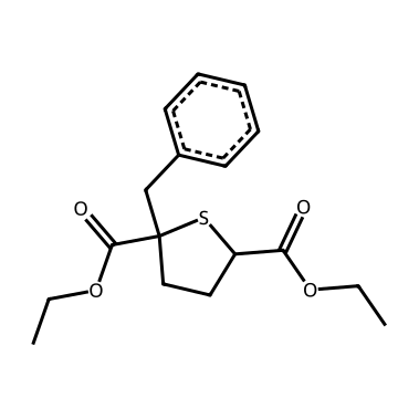 CCOC(=O)C1CCC(Cc2ccccc2)(C(=O)OCC)S1